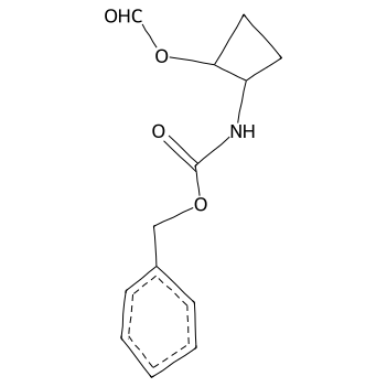 O=COC1CCC1NC(=O)OCc1ccccc1